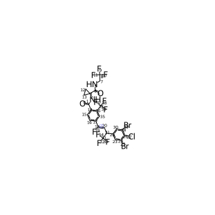 O=C(NC1(C(=O)NCC(F)(F)F)CC1)c1ccc(/C(F)=C/C(c2cc(Br)c(Cl)c(Br)c2)C(F)(F)F)cc1C(F)(F)F